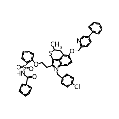 CC1Cc2c(OCc3ccc(-c4ccccc4)cn3)ccc3c2c(c(CCOc2ccccc2S(=O)(=O)NC(=O)c2ccccc2)n3Cc2ccc(Cl)cc2)S1